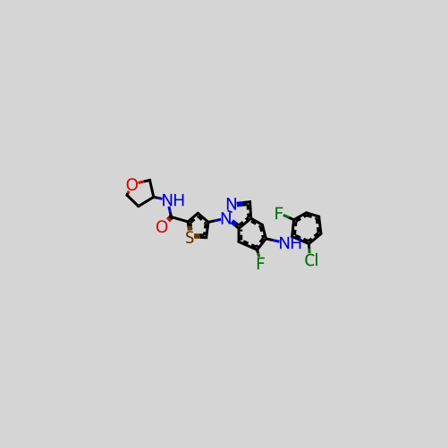 O=C(NC1CCOC1)c1cc(-n2ncc3cc(Nc4c(F)cccc4Cl)c(F)cc32)cs1